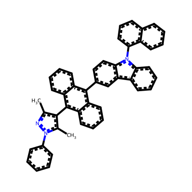 Cc1nn(-c2ccccc2)c(C)c1-c1c2ccccc2c(-c2ccc3c(c2)c2ccccc2n3-c2cccc3ccccc23)c2ccccc12